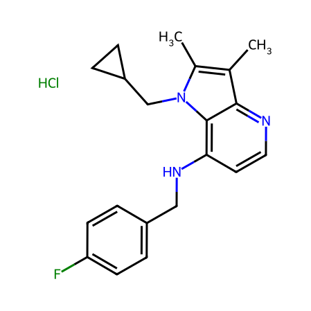 Cc1c(C)n(CC2CC2)c2c(NCc3ccc(F)cc3)ccnc12.Cl